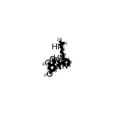 COc1cc(OC)c2c(=O)[nH]c(-c3ncccc3NCCCNC(C)C)nc2c1